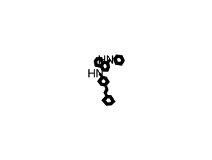 C(=C\c1ccc(Nc2ccc(Nc3ccccc3)c3ccccc23)cc1)/c1ccccc1